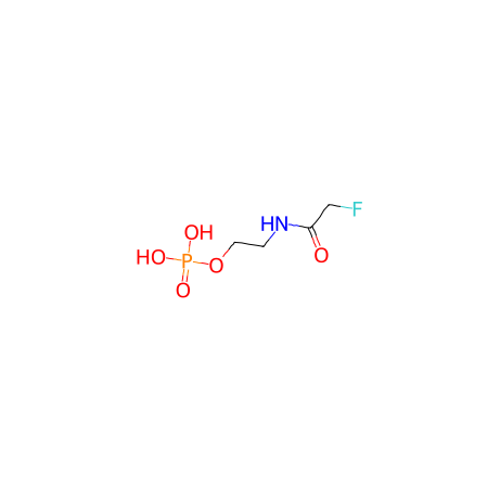 O=C(CF)NCCOP(=O)(O)O